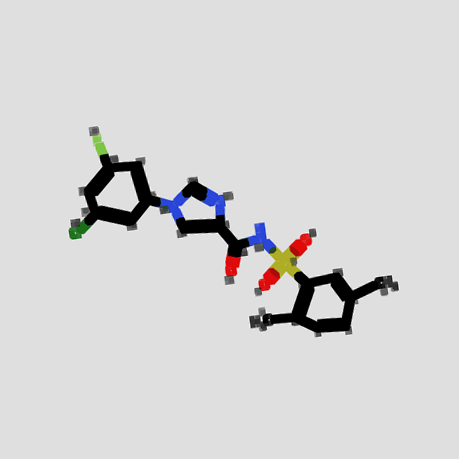 Cc1ccc(C)c(S(=O)(=O)NC(=O)c2cn(-c3cc(F)cc(Cl)c3)cn2)c1